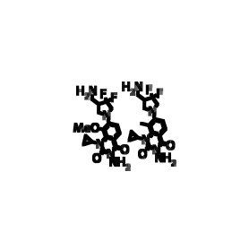 COc1c(N2CC(CN)C(F)(F)C2)ccc2c(=O)n(N)c(=O)n(C3CC3)c12.Cc1c(N2CC(CN)C(F)(F)C2)ccc2c(=O)n(N)c(=O)n(C3CC3)c12